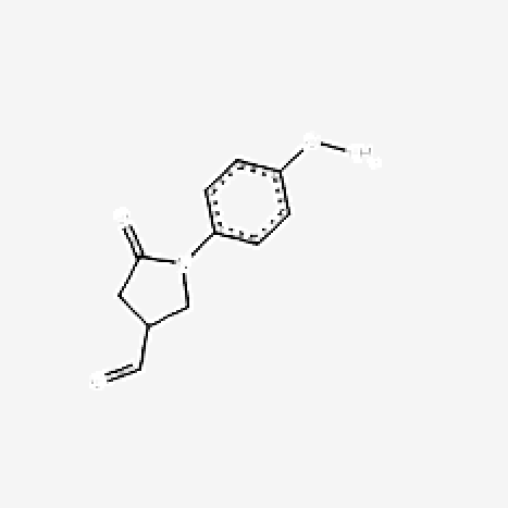 COc1ccc(N2CC(C=O)CC2=O)cc1